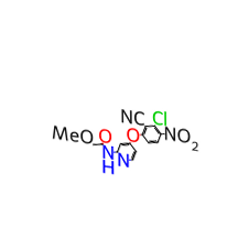 COCC(=O)Nc1cc(Oc2ccc([N+](=O)[O-])c(Cl)c2C#N)ccn1